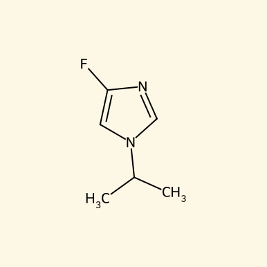 CC(C)n1cnc(F)c1